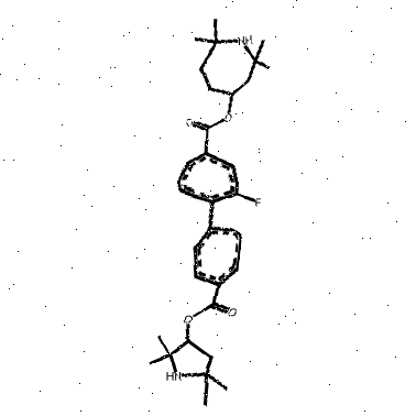 CC1(C)CCC(OC(=O)c2ccc(-c3ccc(C(=O)OC4CC(C)(C)NC4(C)C)cc3)c(F)c2)CC(C)(C)N1